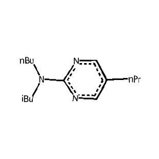 CCCCN(c1ncc(CCC)cn1)C(C)CC